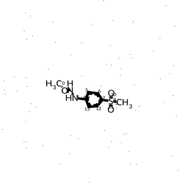 CONNc1ccc(S(C)(=O)=O)cc1